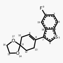 Fc1ccc2scc(C3=CCC4(CC3)OCCO4)c2c1